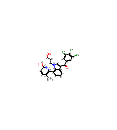 O=C(c1cc(F)c(F)c(F)c1)c1cn(CCCO)c2c(-c3nc(O)ccc3C(F)(F)F)cccc12